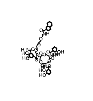 NC(=O)c1cc(C(=O)N(CCOCCOCCOCCNC(=O)c2ccc3ccccc3c2)[C@H]2COC(=O)[C@@H](NC(=O)c3cccc(O)c3O)COC(=O)[C@@H](NC(=O)c3cccc(O)c3O)COC2=O)cc(O)c1O